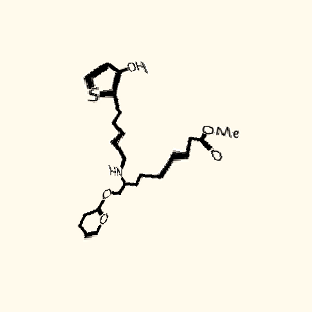 COC(=O)CCCCCCC(COC1CCCCO1)NCCCCCc1sccc1O